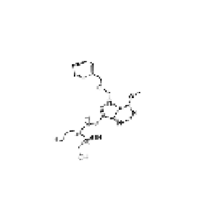 COc1ncnc2c(CN[C@H](CO)[C@@H](O)CO)cn(COCc3ccccc3)c12